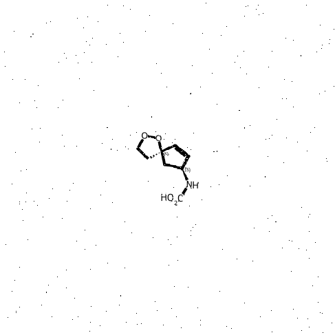 O=C(O)N[C@@H]1C=C[C@@]2(CCOO2)C1